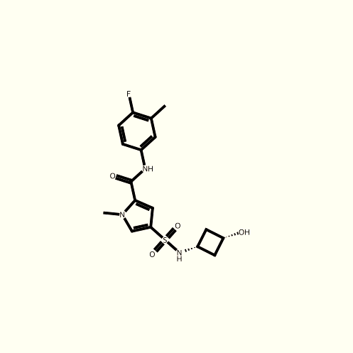 Cc1cc(NC(=O)c2cc(S(=O)(=O)N[C@H]3C[C@@H](O)C3)cn2C)ccc1F